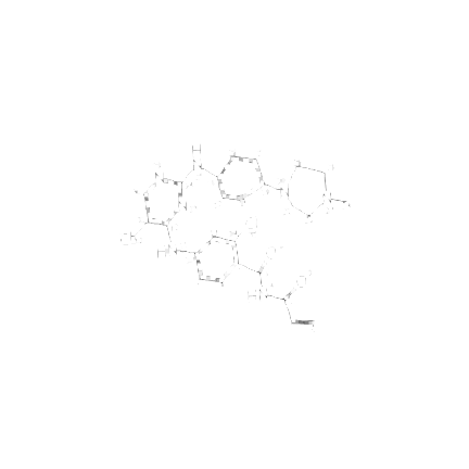 C=CC(=O)NC(=O)c1ccc(Nc2nc(Nc3ccc(N4CCN(C)CC4)cc3)ncc2Cl)cc1Cl